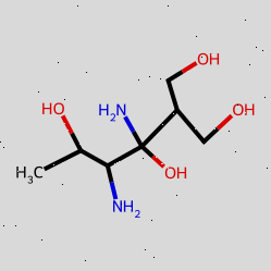 CC(O)C(N)C(N)(O)C(CO)CO